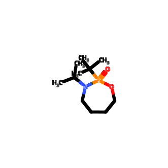 CC(C)N1CCCCOP1(=O)C(C)(C)C